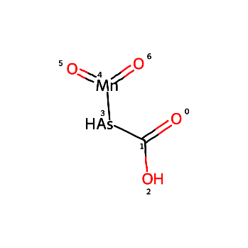 O=C(O)[AsH][Mn](=[O])=[O]